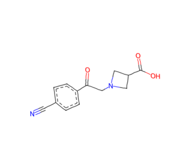 N#Cc1ccc(C(=O)CN2CC(C(=O)O)C2)cc1